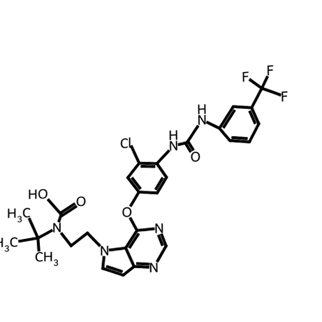 CC(C)(C)N(CCn1ccc2ncnc(Oc3ccc(NC(=O)Nc4cccc(C(F)(F)F)c4)c(Cl)c3)c21)C(=O)O